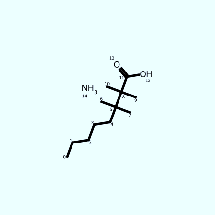 CCCCCC(C)(C)C(C)(C)C(=O)O.N